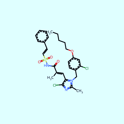 CCCCCOc1ccc(Cn2c(C)nc(Cl)c2C=C(C)C(=O)NS(=O)(=O)C=Cc2ccccc2)c(Cl)c1